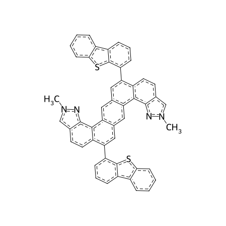 Cn1cc2ccc3c(-c4cccc5c4sc4ccccc45)cc4cc5c(cc(-c6cccc7c6sc6ccccc67)c6ccc7cn(C)nc7c65)cc4c3c2n1